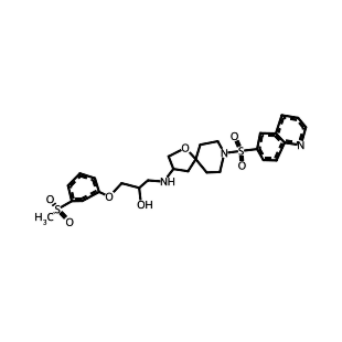 CS(=O)(=O)c1cccc(OCC(O)CNC2COC3(CCN(S(=O)(=O)c4ccc5ncccc5c4)CC3)C2)c1